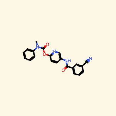 CN(C(=O)Oc1ccc(NC(=O)c2cccc(C#N)c2)cn1)c1ccccc1